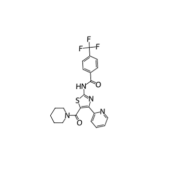 O=C(Nc1nc(-c2ccccn2)c(C(=O)N2CCCCC2)s1)c1ccc(C(F)(F)F)cc1